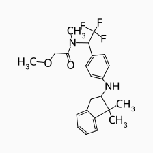 COCC(=O)N(C)C(c1ccc(NC2Cc3ccccc3C2(C)C)cc1)C(F)(F)F